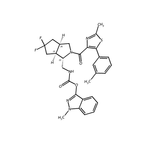 Cc1cccc(-c2sc(C)nc2C(=O)N2C[C@@H]3CC(F)(F)C[C@@H]3[C@H]2CNC(=O)Oc2nn(C)c3ccccc23)c1